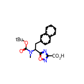 CN(C(=O)OC(C)(C)C)C(Cc1ccc2ccccc2c1)c1nc(C(=O)O)no1